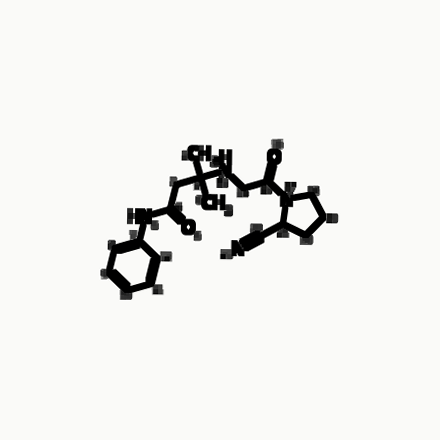 CC(C)(CC(=O)Nc1ccccc1)NCC(=O)N1CCCC1C#N